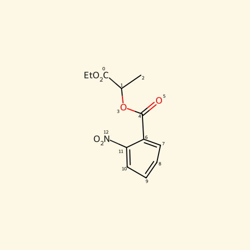 CCOC(=O)C(C)OC(=O)c1ccccc1[N+](=O)[O-]